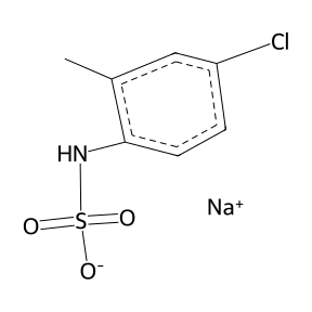 Cc1cc(Cl)ccc1NS(=O)(=O)[O-].[Na+]